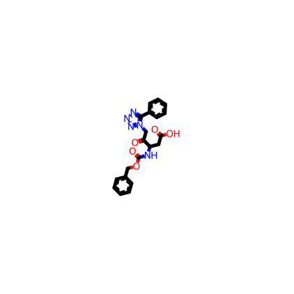 O=C(O)CC(NC(=O)OCc1ccccc1)C(=O)Cn1nnnc1-c1ccccc1